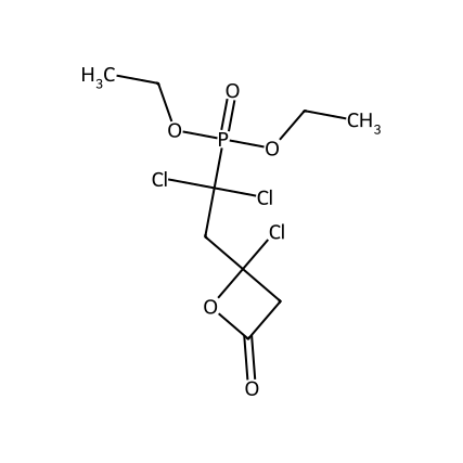 CCOP(=O)(OCC)C(Cl)(Cl)CC1(Cl)CC(=O)O1